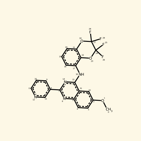 COc1ccc2nc(-c3cccnc3)nc(Nc3cccc4c3OC(F)(F)C(F)(F)O4)c2c1